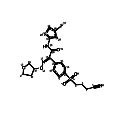 N#CCCCS(=O)(=O)c1ccc(/C(=N\O[C@@H]2CCOC2)C(=O)Nc2ncc(F)s2)cc1